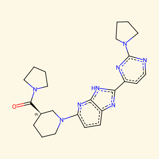 O=C([C@@H]1CCCN(c2ccc3nc(-c4ccnc(N5CCCC5)n4)[nH]c3n2)C1)N1CCCC1